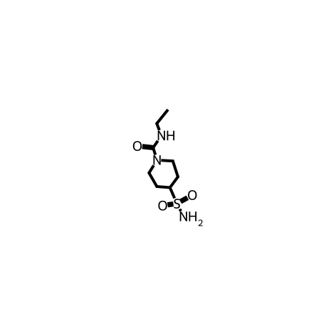 CCNC(=O)N1CCC(S(N)(=O)=O)CC1